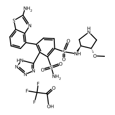 CO[C@H]1CNC[C@@H]1NS(=O)(=O)c1ccc(-c2cccc3sc(N)nc23)c(-c2nnn[nH]2)c1S(N)(=O)=O.O=C(O)C(F)(F)F